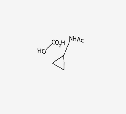 CC(=O)NC1CC1.O=C(O)O